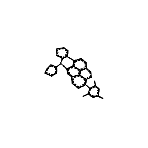 Cc1cc(C)c(-c2ccc3cc4c5c(ccc6ccc2c3c65)-c2ccccc2B4c2ccccc2)c(C)c1